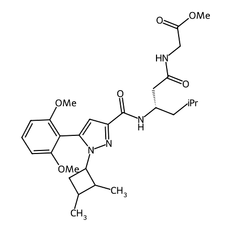 COC(=O)CNC(=O)C[C@H](CC(C)C)NC(=O)c1cc(-c2c(OC)cccc2OC)n(C2CC(C)C2C)n1